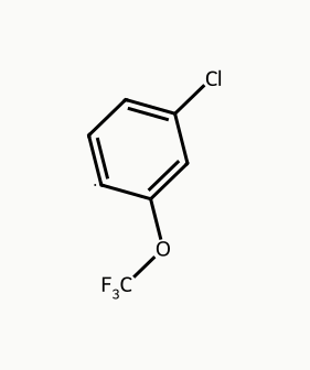 FC(F)(F)Oc1[c]ccc(Cl)c1